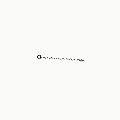 SCCCCCCCCCCCCCCCCCCCCCl